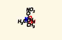 CC(O)C[N+](C)(C)[N-]C(=O)c1ccc([N+](=O)[O-])cc1